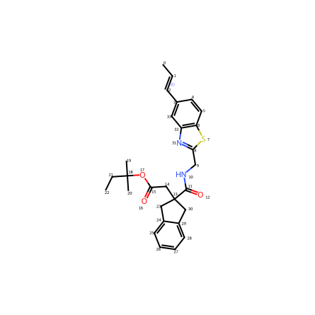 C/C=C/c1ccc2sc(CNC(=O)C3(CC(=O)OC(C)(C)CC)Cc4ccccc4C3)nc2c1